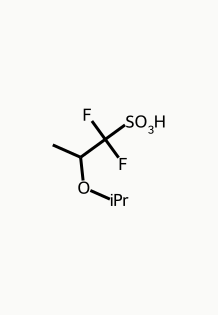 CC(C)OC(C)C(F)(F)S(=O)(=O)O